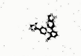 Cn1cnnc1C1CCN(c2c(C#N)cccc2-c2cnc3cn[nH]c3c2)CC1